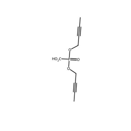 CC#CCOP(=O)(OCC#CC)C(=O)O